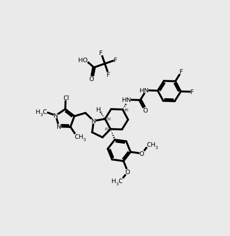 COc1ccc([C@@]23CC[C@@H](NC(=O)Nc4ccc(F)c(F)c4)C[C@@H]2N(Cc2c(C)nn(C)c2Cl)CC3)cc1OC.O=C(O)C(F)(F)F